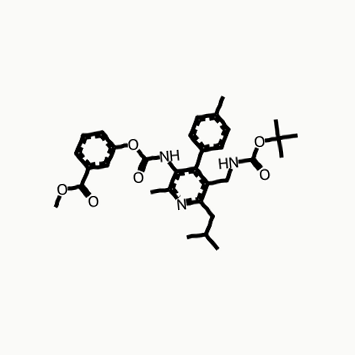 COC(=O)c1cccc(OC(=O)Nc2c(C)nc(CC(C)C)c(CNC(=O)OC(C)(C)C)c2-c2ccc(C)cc2)c1